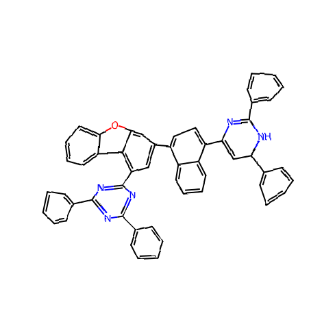 C1=C(c2ccc(-c3cc(-c4nc(-c5ccccc5)nc(-c5ccccc5)n4)c4c(c3)oc3ccccc34)c3ccccc23)N=C(c2ccccc2)NC1c1ccccc1